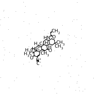 [C-]#[N+]C1=C[C@]2(C)C3=CC(=O)[C@@H]4[C@@H]5CC(C)(C)CC[C@]5(NC(=O)C=C)CC[C@@]4(C)[C@]3(C)CC[C@H]2C(C)(C)C1=O